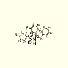 Cc1ccc(S(=O)(=O)NN=Cc2ccccc2-c2ccc(F)cc2)cc1